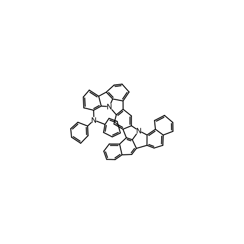 c1ccc(N(c2ccccc2)c2cccc3c4cccc5c6cc7c(cc6n(c23)c54)c2c3ccccc3cc3c4ccc5ccccc5c4n7c32)cc1